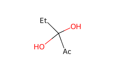 CCC(O)(O)C(C)=O